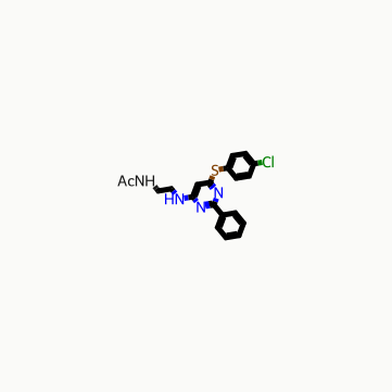 CC(=O)NCCNc1cc(Sc2ccc(Cl)cc2)nc(-c2ccccc2)n1